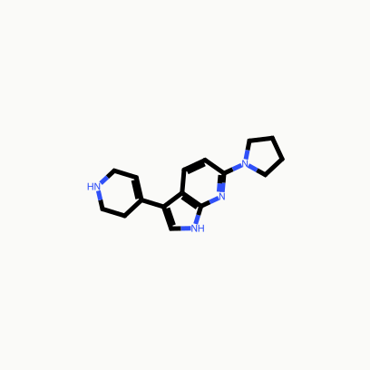 C1=C(c2c[nH]c3nc(N4CCCC4)ccc23)CCNC1